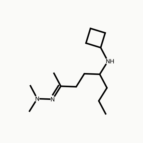 CCCC(CC/C(C)=N/N(C)C)NC1CCC1